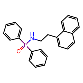 O=P(NCCc1cccc2ccccc12)(c1ccccc1)c1ccccc1